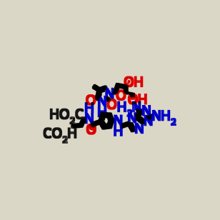 Cc1cn([C@H]2C[C@H](O)[C@@H](CO)O2)c(=O)[nH]c1=O.Nc1nc(N)c2nc(CNc3ccc(C(=O)NC(CCC(=O)O)C(=O)O)cc3)cnc2n1